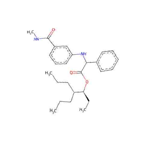 CCCC(CCC)[C@H](CC)OC(=O)C(Nc1cccc(C(=O)NC)c1)c1ccccc1